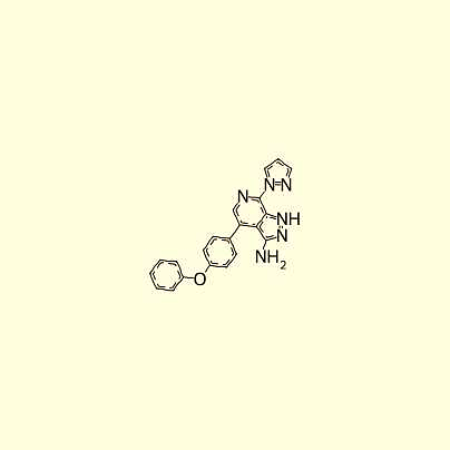 Nc1n[nH]c2c(-n3cccn3)ncc(-c3ccc(Oc4ccccc4)cc3)c12